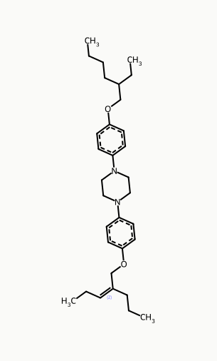 CC/C=C(/CCC)COc1ccc(N2CCN(c3ccc(OCC(CC)CCCC)cc3)CC2)cc1